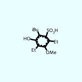 CCc1c(O)c(C(C)CC)c(S(=O)(=O)O)c(CC)c1OC